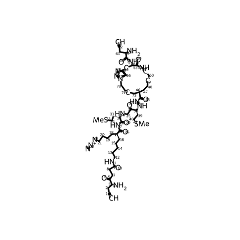 C#CC[C@@H](N)C(=O)CCC(=O)NCCCCC[C@@H](CCCCN=[N+]=[N-])C(=O)NC(=O)[C@H](CCSC)NCC(=O)[C@H](CCSC)NNC(=O)C1CCCCCNC(=O)C(NC(=O)[C@@H](N)CC#C)Cc2cn(nn2)CCCC1